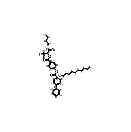 CCCCCCCCCCOC1(C(=O)Oc2ccc(C(=O)OC(C(=O)OCCCC)C(F)(F)F)cc2)C=CC(c2ccccc2)=CC1